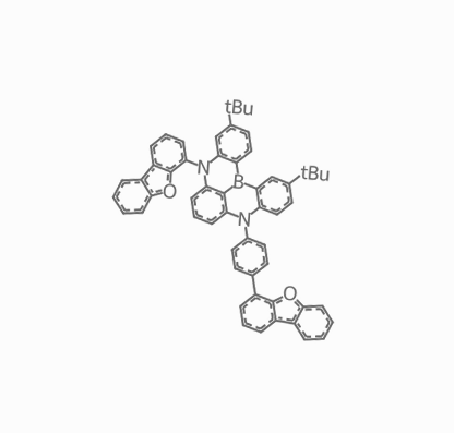 CC(C)(C)c1ccc2c(c1)B1c3ccc(C(C)(C)C)cc3N(c3cccc4c3oc3ccccc34)c3cccc(c31)N2c1ccc(-c2cccc3c2oc2ccccc23)cc1